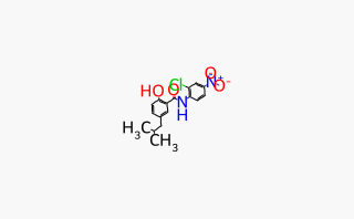 CC(C)Cc1ccc(O)c(C(=O)Nc2ccc([N+](=O)[O-])cc2Cl)c1